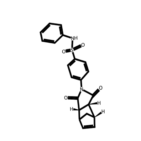 O=C1[C@@H]2[C@@H]3C=CC(C3)[C@@H]2C(=O)N1c1ccc(S(=O)(=O)Nc2ccccc2)cc1